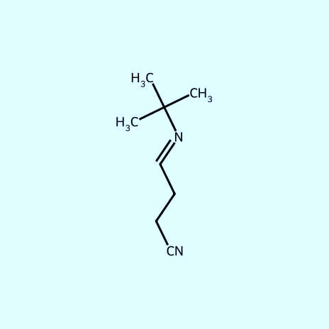 CC(C)(C)N=CCCC#N